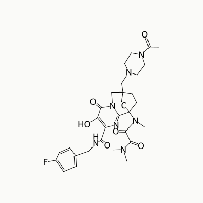 CC(=O)N1CCN(CC23CCC(N(C)C(=O)C(=O)N(C)C)(CC2)c2nc(C(=O)NCc4ccc(F)cc4)c(O)c(=O)n2C3)CC1